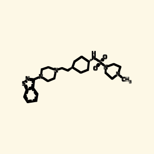 CN1CCN(S(=O)(=O)N[C@H]2CC[C@H](CCN3CCN(c4nsc5ccccc45)CC3)CC2)CC1